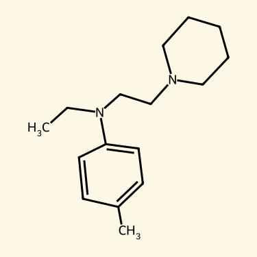 CCN(CCN1CCCCC1)c1ccc(C)cc1